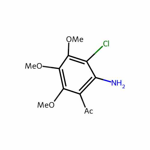 COc1c(Cl)c(N)c(C(C)=O)c(OC)c1OC